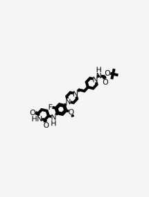 COc1cc(NC2CCC(=O)NC2=O)c(F)cc1N1CCN(CCC2CCN(NC(=O)OC(C)(C)C)CC2)CC1